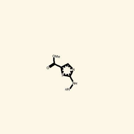 CCCNc1ncc(C(=O)OC)s1